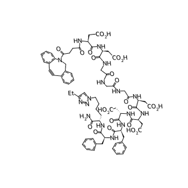 CCc1cn(CCCC[C@H](NC(=O)[C@H](Cc2ccccc2)NC(=O)[C@H](Cc2ccccc2)NC(=O)[C@H](CC(=O)O)NC(=O)[C@H](CC(=O)O)NC(=O)[C@H](CC(=O)O)NC(=O)CNC(=O)CNC(=O)CNC(=O)[C@H](CC(=O)O)NC(=O)[C@H](CC(=O)O)NC(=O)CCC(=O)N2Cc3ccccc3C#Cc3ccccc32)C(N)=O)nn1